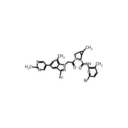 CC(=O)c1nn(CC(=O)N2CC3C(C)C3[C@H]2C(=O)Nc2nc(Br)ccc2C)c2c(C)cc(-c3cnc(C)nc3)cc12